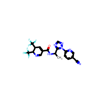 CC(NC(=O)C1=CC(C(F)(F)F)C(C(F)(F)F)N=C1)c1ncnn1-c1ccc(C#N)cn1